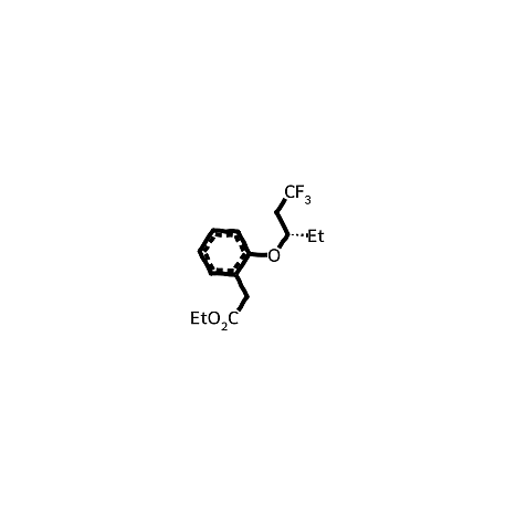 CCOC(=O)Cc1ccccc1O[C@@H](CC)CC(F)(F)F